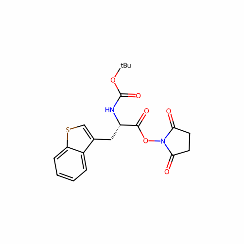 CC(C)(C)OC(=O)N[C@@H](Cc1csc2ccccc12)C(=O)ON1C(=O)CCC1=O